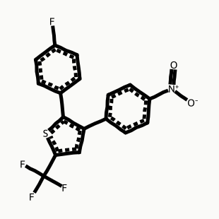 O=[N+]([O-])c1ccc(-c2cc(C(F)(F)F)sc2-c2ccc(F)cc2)cc1